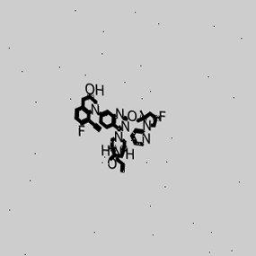 C#Cc1c(F)ccc2c1N(C1=Cc3nc(OC[C@]4(C)C[C@@H](F)CN4c4ccccn4)nc(N4C[C@H]5CC(C)[C@@H](C4)N5C(=O)C=C)c3CC1)C[C@H](O)C2